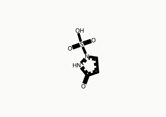 O=c1ccn(S(=O)(=O)O)[nH]1